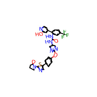 O=C(Nc1cnc(Oc2ccc(-c3cnc(N4CCCC4=O)s3)cc2)nc1)Nc1cc(C(F)(F)F)ccc1-c1ccnc(O)c1